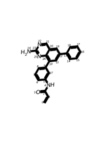 C=CC(=O)Nc1cccc(-c2cc(-c3ccccc3)cc3cnc(N)nc23)c1